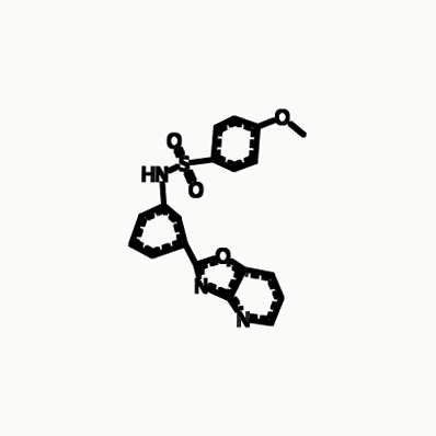 COc1ccc(S(=O)(=O)Nc2cccc(-c3nc4ncccc4o3)c2)cc1